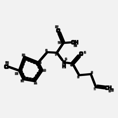 C=CCCC(=O)NC(Cc1cccc(Cl)c1)C(=O)O